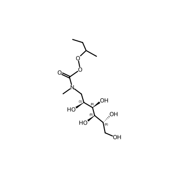 CCC(C)OOC(=O)N(C)C[C@H](O)[C@@H](O)[C@H](O)[C@H](O)CO